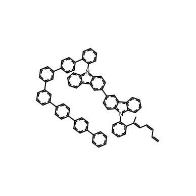 C=C/C=C\C=C(/C)c1ccccc1-n1c2ccccc2c2cc(-c3ccc4c(c3)c3ccccc3n4-c3ccccc3-c3ccc(-c4cccc(-c5cccc(-c6ccc(-c7ccc(-c8ccccc8)cc7)cc6)c5)c4)cc3)ccc21